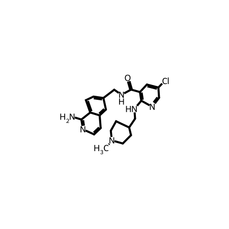 CN1CCC(CNc2ncc(Cl)cc2C(=O)NCc2ccc3c(N)nccc3c2)CC1